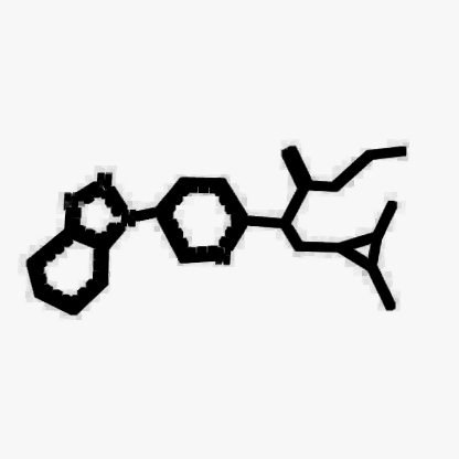 C=C(CCC)C(CC1C(C)C1C)c1ccc(-n2nnc3ccccc32)cn1